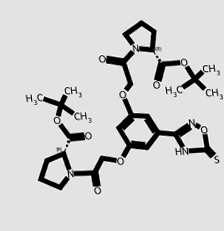 CC(C)(C)OC(=O)[C@H]1CCCN1C(=O)COc1cc(OCC(=O)N2CCC[C@@H]2C(=O)OC(C)(C)C)cc(-c2noc(=S)[nH]2)c1